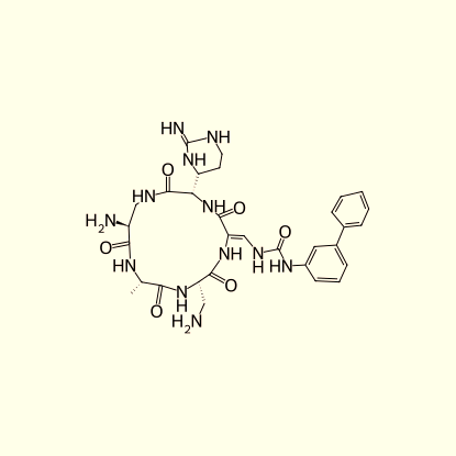 C[C@@H]1NC(=O)[C@@H](N)CNC(=O)[C@H](C2CCNC(=N)N2)NC(=O)/C(=C/NC(=O)Nc2cccc(-c3ccccc3)c2)NC(=O)[C@H](CN)NC1=O